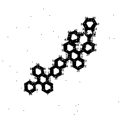 c1ccc(-c2c3ccccc3c(-c3ccc4cc(-c5c6ccccc6c(-c6cccc(-c7nc8ccccc8n7-c7ccccc7)c6)c6ccccc56)ccc4c3)c3ccccc23)cc1